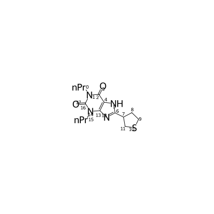 CCCn1c(=O)c2[nH]c(C3CCSC3)nc2n(CCC)c1=O